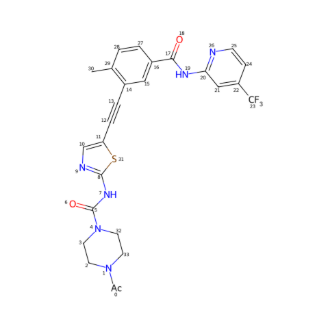 CC(=O)N1CCN(C(=O)Nc2ncc(C#Cc3cc(C(=O)Nc4cc(C(F)(F)F)ccn4)ccc3C)s2)CC1